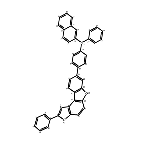 c1ccc(-c2nc3c(ccc4oc5cc(-c6ccc(N(c7ccccc7)c7ccc8ccccc8c7)cc6)ccc5c43)o2)cc1